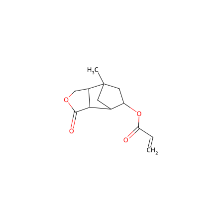 C=CC(=O)OC1CC2(C)CC1C1C(=O)OCC12